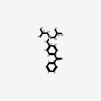 C=C(c1ccccc1)c1ccc(CN(CC(C)C)CC(C)C)cc1